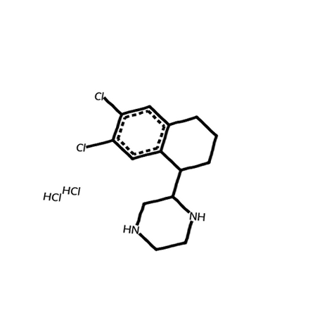 Cl.Cl.Clc1cc2c(cc1Cl)C(C1CNCCN1)CCC2